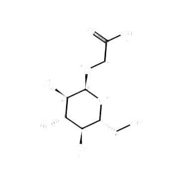 O=C(O)CO[C@H]1O[C@H](CO)[C@@H](O)[C@H](O)[C@H]1O